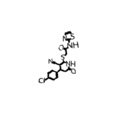 N#CC1=C(SCC(=O)Nc2nccs2)NC(=O)CC1c1ccc(Cl)cc1